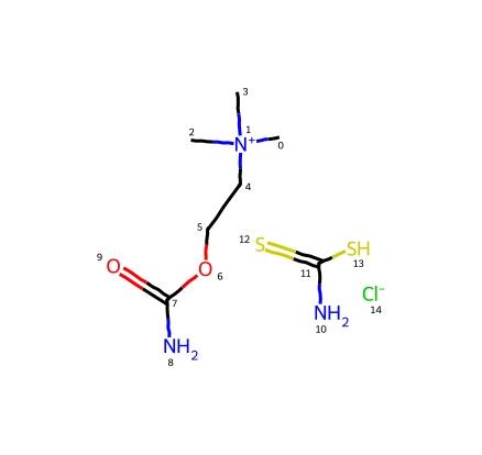 C[N+](C)(C)CCOC(N)=O.NC(=S)S.[Cl-]